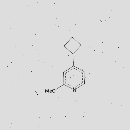 COc1cc(C2CCC2)ccn1